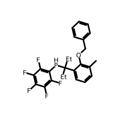 CCC(CC)(Pc1c(F)c(F)c(F)c(F)c1F)c1cccc(C)c1OCc1ccccc1